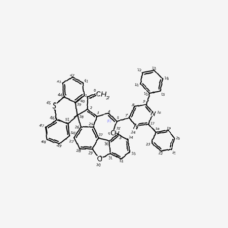 C=CC1=C(/C=C(\C)c2cc(-c3ccccc3)nc(-c3ccccc3)n2)c2c(ccc3oc4ccccc4c23)C12c1ccccc1Sc1ccccc12